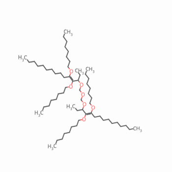 CCCCCCCCCCC(OCCCCCCCC)=C(OCCCCCCCC)C(CC)OCOCOC(CC)C(OCCCCCCCC)=C(CCCCCCCCCC)OCCCCCCCC